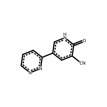 N#Cc1cc(-c2cccnn2)c[nH]c1=O